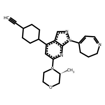 C#CC1CCC(c2cc(N3CCOC[C@H]3C)nc3c2cnn3C2=CC=NCCC2)CC1